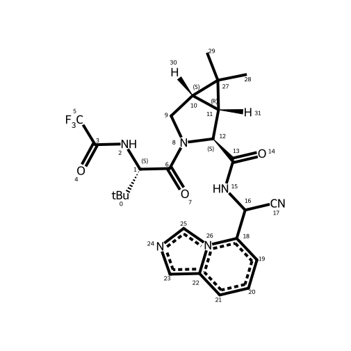 CC(C)(C)[C@H](NC(=O)C(F)(F)F)C(=O)N1C[C@H]2[C@@H]([C@H]1C(=O)NC(C#N)c1cccc3cncn13)C2(C)C